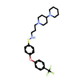 FC(F)(F)c1ccc(Oc2ccc(SNCCCN3CCC(N4CCCCC4)CC3)cc2)cc1